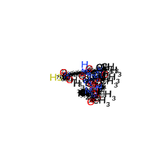 CC[C@H](C)[C@@H]([C@@H](CC(=O)N1CCC[C@H]1[C@H](OC)[C@@H](C)C(=O)N[C@@H](Cc1c[nH]c2ccccc12)C(C)=O)OC)N(C)C(=O)[C@@H](NC(=O)[C@H](C(C)C)N(C)CCCC(=O)NNC(=O)CCCCCN1C(=O)CC(S)C1=O)C(C)C